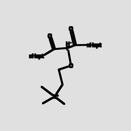 CCCCCCCC(=O)[PH-](OCC[N+](C)(C)C)C(=O)CCCCCCC